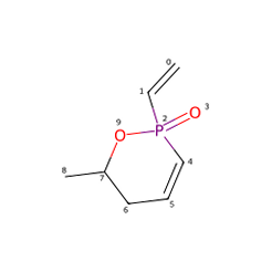 C=CP1(=O)C=CCC(C)O1